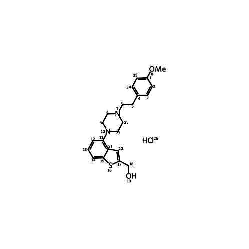 COc1ccc(CCN2CCN(c3cccc4sc(CO)cc34)CC2)cc1.Cl